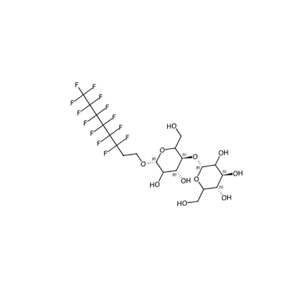 OCC1O[C@H](O[C@@H]2C(CO)O[C@@H](OCCC(F)(F)C(F)(F)C(F)(F)C(F)(F)C(F)(F)C(F)(F)F)C(O)[C@H]2O)C(O)[C@@H](O)[C@@H]1O